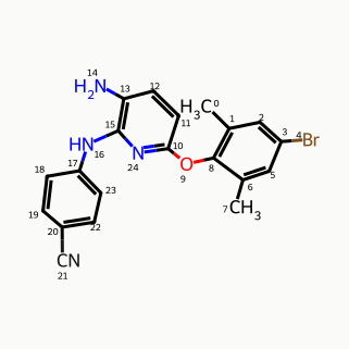 Cc1cc(Br)cc(C)c1Oc1ccc(N)c(Nc2ccc(C#N)cc2)n1